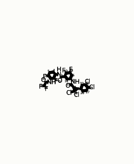 O=C(Nc1ccc(F)c(NC(=O)C(F)F)c1F)c1cc(NC(=O)C2[C@H](c3ccc(Cl)c(Cl)c3)C2(Cl)Cl)cc(F)c1F